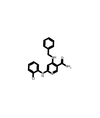 NC(=O)c1cnc(Nc2ccccc2Cl)cc1NCc1ccccc1